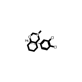 CN1CO[C@@H]2CCCC[C@]2(c2ccc(Cl)c(Cl)c2)C1